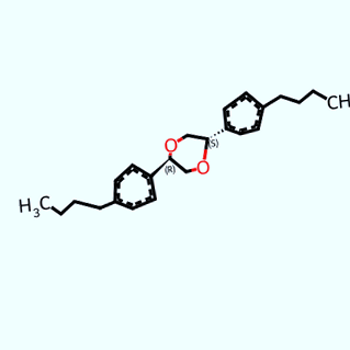 CCCCc1ccc([C@@H]2CO[C@@H](c3ccc(CCCC)cc3)CO2)cc1